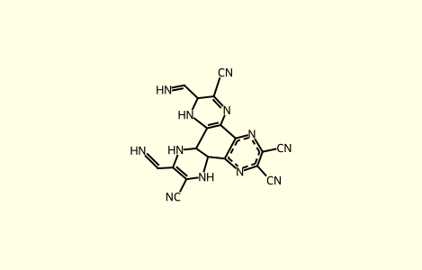 N#CC1=NC2=C(NC1C=N)C1NC(C=N)=C(C#N)NC1c1nc(C#N)c(C#N)nc12